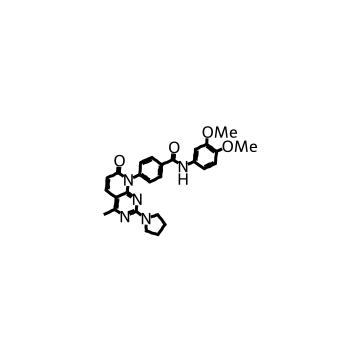 COc1ccc(NC(=O)c2ccc(-n3c(=O)ccc4c(C)nc(N5CCCC5)nc43)cc2)cc1OC